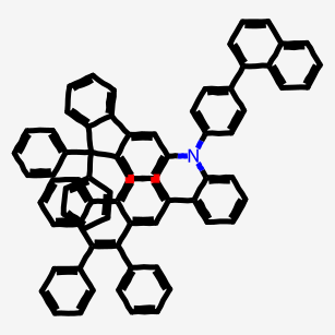 c1ccc(-c2c(-c3ccccc3)c3cc(-c4ccccc4N(c4ccc(-c5cccc6ccccc56)cc4)c4ccc5c(c4)-c4ccccc4C5(c4ccccc4)c4ccccc4)ccc3c3ccccc23)cc1